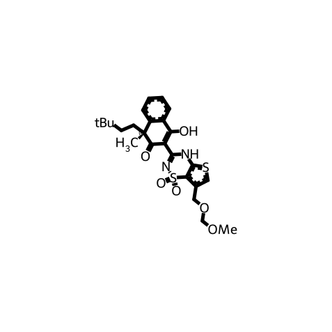 COCOCc1csc2c1S(=O)(=O)N=C(C1=C(O)c3ccccc3[C@@](C)(CCC(C)(C)C)C1=O)N2